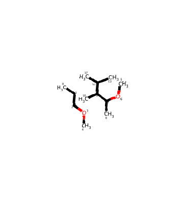 CCCOC.COC(C)C(C)C(C)C